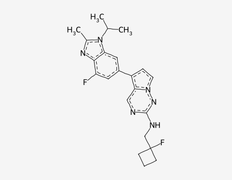 Cc1nc2c(F)cc(-c3ccn4nc(NCC5(F)CCC5)ncc34)cc2n1C(C)C